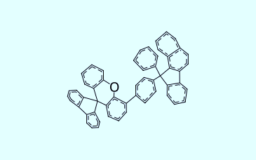 c1ccc(C2(c3ccc(-c4cccc5c4Oc4ccccc4C54c5ccccc5-c5ccccc54)cc3)c3ccccc3-c3ccc4ccccc4c32)cc1